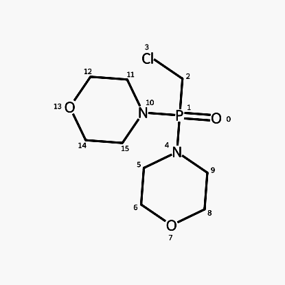 O=P(CCl)(N1CCOCC1)N1CCOCC1